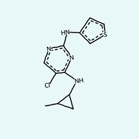 CC1CC1Nc1nc(Nc2ccsc2)ncc1Cl